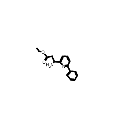 CCOC(=O)CC(N)c1cccc(-c2ccccc2)n1